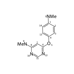 CNc1ccc(Oc2cc(NC)ncn2)cc1